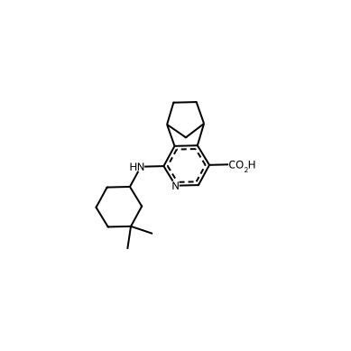 CC1(C)CCCC(Nc2ncc(C(=O)O)c3c2C2CCC3C2)C1